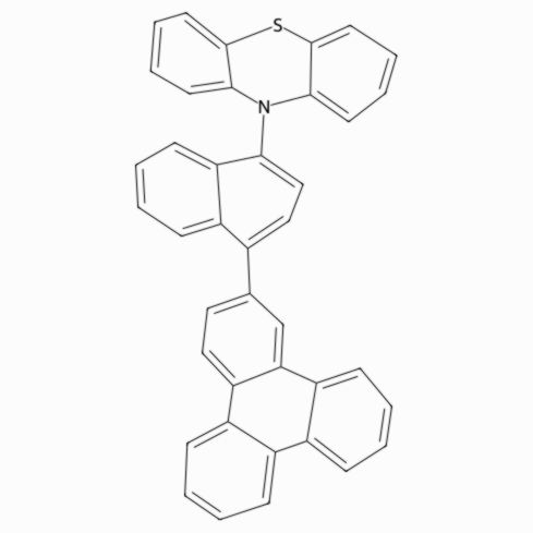 c1ccc2c(c1)Sc1ccccc1N2c1ccc(-c2ccc3c4ccccc4c4ccccc4c3c2)c2ccccc12